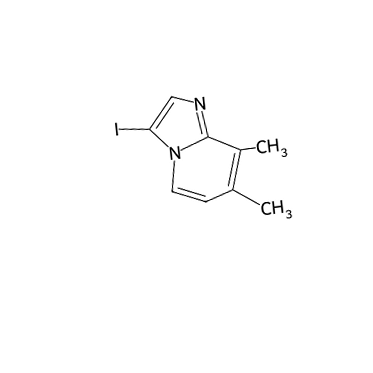 Cc1ccn2c(I)cnc2c1C